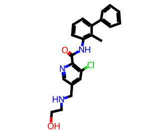 Cc1c(NC(=O)c2ncc(CNCCO)cc2Cl)cccc1-c1ccccc1